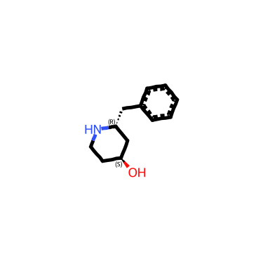 O[C@H]1CCN[C@H](Cc2ccccc2)C1